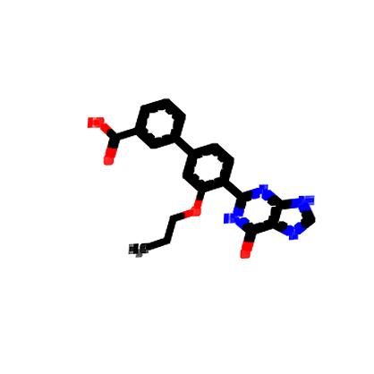 CCCOc1cc(-c2cccc(C(=O)O)c2)ccc1-c1nc2[nH]cnc2c(=O)[nH]1